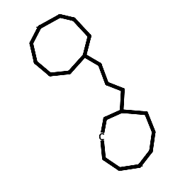 [CH]1CCCCC(CCCC2CCC[CH]CCCC2)CCC1